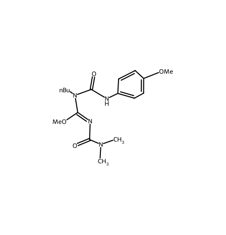 CCCCN(C(=O)Nc1ccc(OC)cc1)C(=NC(=O)N(C)C)OC